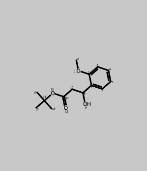 COc1ccccc1C(O)CC(=O)OC(C)(C)C